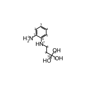 Nc1ccccc1NCCC(O)(O)O